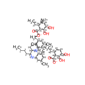 CCCCC(=Nc1cc(C)cc(C)c1)C(CC)=Nc1cc(C)cc(C)c1.CCc1ccc(O)c(O)c1C(=O)[O-].CCc1ccc(O)c(O)c1C(=O)[O-].[Ni+2]